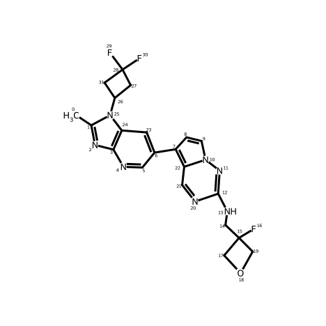 Cc1nc2ncc(-c3ccn4nc(NCC5(F)COC5)ncc34)cc2n1C1CC(F)(F)C1